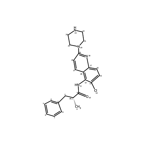 C[C@H](Cc1ccccc1)C(=O)Nc1c(Cl)ccc2nc(N3CCNCC3)ccc12